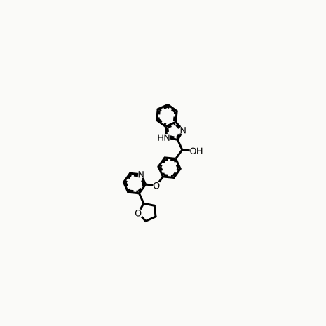 OC(c1ccc(Oc2ncccc2C2CCCO2)cc1)c1nc2ccccc2[nH]1